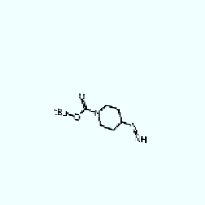 CC(C)(C)OC(=O)N1CCC(N=N)CC1